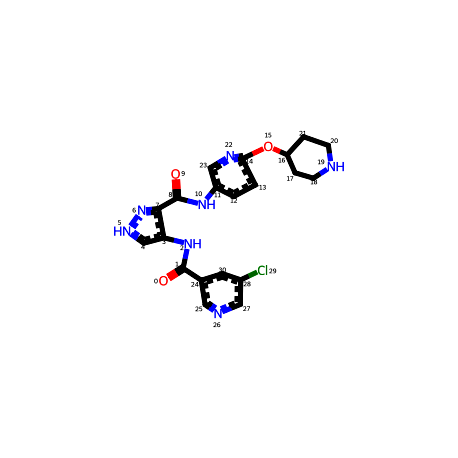 O=C(Nc1c[nH]nc1C(=O)Nc1ccc(OC2CCNCC2)nc1)c1cncc(Cl)c1